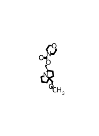 COCC12CCCN1[C@@H](COC(=O)N1CCOCC1)CC2